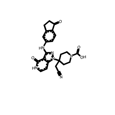 N#CCC1(n2nc(Nc3ccc4c(c3)CCC4=O)c3c(=O)[nH]ccc32)CCN(C(=O)O)CC1